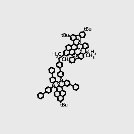 CC(C)(C)c1cc2ccc3c4c5c(c6ccc(c1)c2c36)N(c1ccc(-c2ccccc2)cc1)c1ccc(-c2ccccc2)cc1B5N(c1ccc(-c2ccc(CC(C)(C)c3cc5ccc6c7c8c(c9ccc(c3)c5c69)N3c5c(cccc5C(C)(C)c5ccc6c(oc9ccccc96)c53)B8n3c5ccc(C(C)(C)C)cc5c5cc(C(C)(C)C)cc-7c53)cc2)cc1)c1ccc(-c2ccccc2)cc1-4